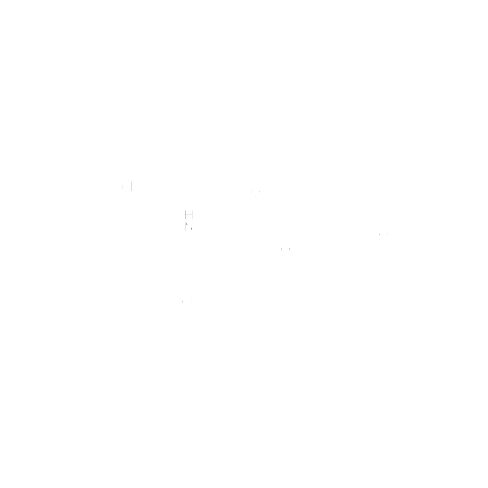 O=C(O)COC(=O)CNc1c(Cl)cccc1Cl